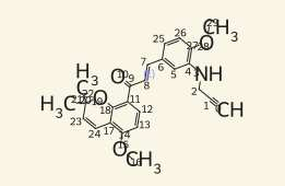 C#CCNc1cc(/C=C/C(=O)c2ccc(OC)c3c2OC(C)(C)C=C3)ccc1OC